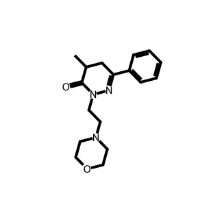 CC1CC(c2ccccc2)=NN(CCN2CCOCC2)C1=O